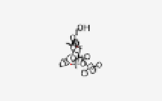 C=C(CC(C=C(CC(C)(C)C)C(=O)OC1CC(=O)OC1=O)(C(O)CC1CC2C=CC1C2)C(F)(F)F)C(=O)OCCO